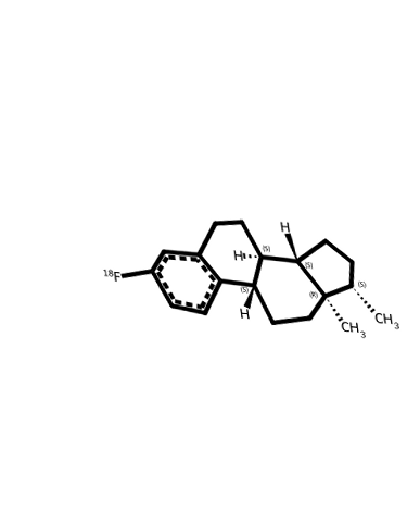 C[C@H]1CC[C@H]2[C@@H]3CCc4cc([18F])ccc4[C@H]3CC[C@]12C